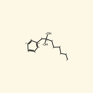 CCCCCCC(O)(O)Cc1ccccc1